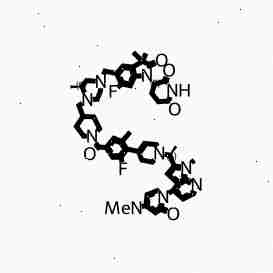 CNc1ccn(-c2ccnc3c2cc([C@H](C)N2CC=C(c4c(C)cc(C(=O)N5CCC(CN6CCN(Cc7cc8c(cc7F)N([C@H]7CCC(=O)NC7=O)C(=O)C8(C)C)C[C@@H]6C)CC5)cc4F)CC2)n3C)c(=O)c1